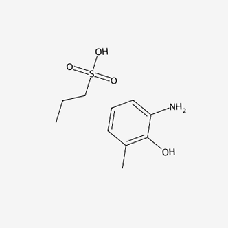 CCCS(=O)(=O)O.Cc1cccc(N)c1O